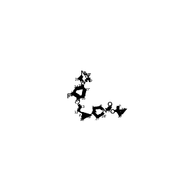 CC1(OC(=O)N2CCC([C@@H]3C[C@H]3CCOc3ccc(-n4cnnn4)cc3F)CC2)CC1